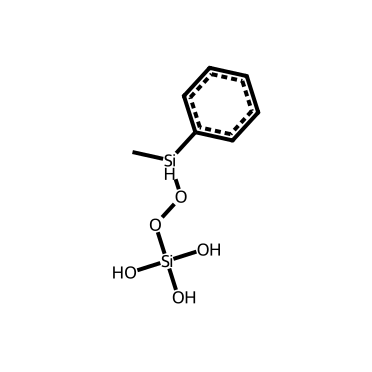 C[SiH](OO[Si](O)(O)O)c1ccccc1